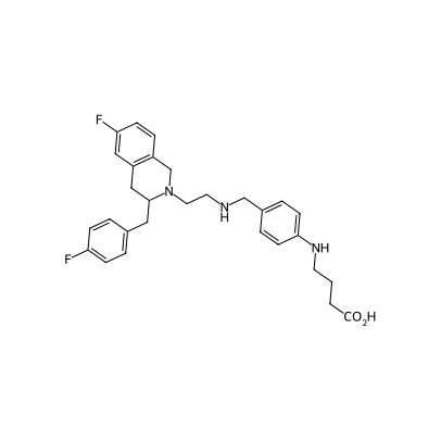 O=C(O)CCCNc1ccc(CNCCN2Cc3ccc(F)cc3CC2Cc2ccc(F)cc2)cc1